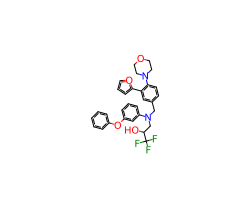 OC(CN(Cc1ccc(N2CCOCC2)c(-c2ccco2)c1)c1cccc(Oc2ccccc2)c1)C(F)(F)F